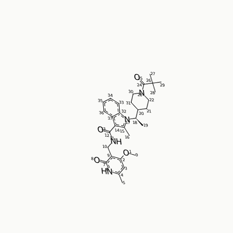 COc1cc(C)[nH]c(=O)c1CNC(=O)c1c(C)n([C@H](C)C2CCN(C(=O)C(C)(C)C)CC2)c2ccccc12